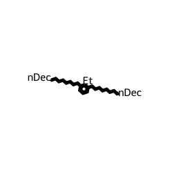 [CH2]Cc1c(CCCCCCCCCCCCCCCCCC)cccc1CCCCCCCCCCCCCCCCCC